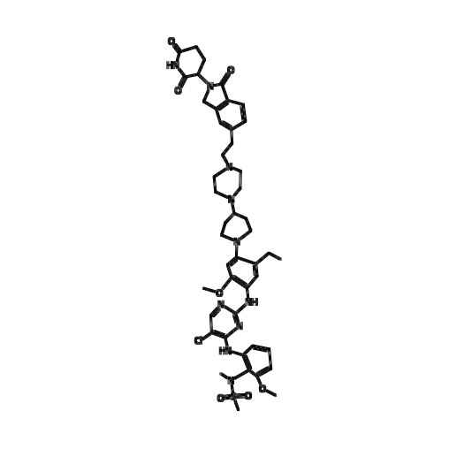 CCc1cc(Nc2ncc(Cl)c(Nc3cccc(OC)c3N(C)S(C)(=O)=O)n2)c(OC)cc1N1CCC(N2CCN(CCc3ccc4c(c3)CN(C3CCC(=O)NC3=O)C4=O)CC2)CC1